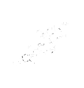 NCC(=O)N[C@H]1C([C@H](O)[C@H](O)CO)O[C@](O[PH](=O)OC[C@H]2O[C@@H](n3ccc(N)nc3=O)[C@@H](O)C2O)(C(=O)O)C[C@H]1O